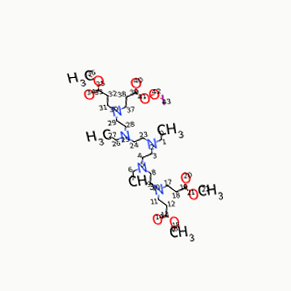 CCN(CCN(CC)CCN(CCC(=O)OC)CCC(=O)OC)CCN(CC)CCN(CCC(=O)OC)CCC(=O)OOI